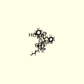 CC/C=C/CN1C(=O)[C@H]2N(C(=O)[C@@H](O)[C@H](Cc3ccccc3)NC(=O)c3cccc(O)c3C)CSC21C